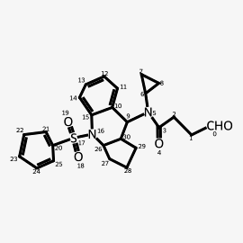 O=CCCC(=O)N(C1CC1)C1c2ccccc2N(S(=O)(=O)c2ccccc2)C2CCCC12